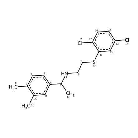 Cc1ccc(C(C)NCCSc2cc(Cl)ccc2Cl)cc1C